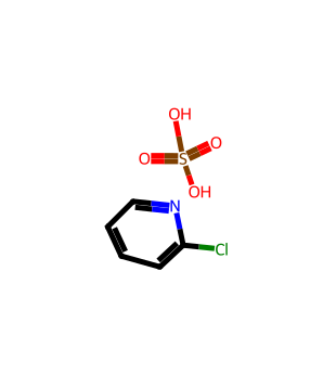 Clc1ccccn1.O=S(=O)(O)O